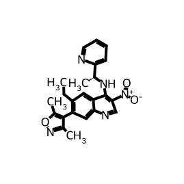 CCc1cc2c(N[C@H](C)c3ccccn3)c([N+](=O)[O-])cnc2cc1-c1c(C)noc1C